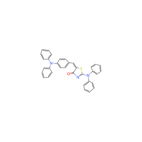 O=C1N=C(N(c2ccccc2)c2ccccc2)S/C1=C/c1ccc(N(c2ccccc2)c2ccccc2)cc1